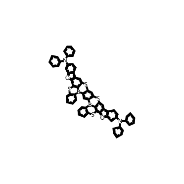 c1ccc(N(c2ccccc2)c2ccc3c(c2)oc2c4c5c(cc23)Sc2cc3c(cc2B5c2ccccc2S4)B2c4ccccc4Sc4c2c(cc2c4oc4cc(N(c5ccccc5)c5ccccc5)ccc42)S3)cc1